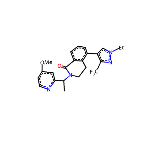 CCn1cc(-c2cccc3c2CCN(C(C)c2cc(OC)ccn2)C3=O)c(C(F)(F)F)n1